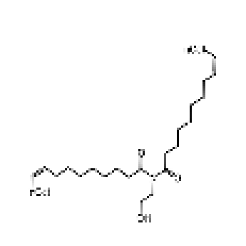 CCCCCCCC/C=C\CCCCCCCC(=O)N(CCO)C(=O)CCCCCCC/C=C\CCCCCCCC